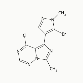 Cc1nc(-c2cnn(C)c2Br)c2c(Cl)ncnn12